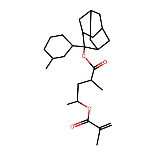 C=C(C)C(=O)OC(C)CC(C)C(=O)OC1(C2CCCC(C)C2)C2CC3CC(C2)CC1C3